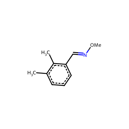 CON=Cc1cccc(C)c1C